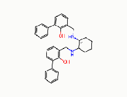 Oc1c(CNC2CCCC[C@@H]2NCc2cccc(-c3ccccc3)c2O)cccc1-c1ccccc1